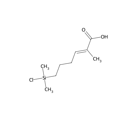 C/C(=C\CCC[Si](C)(C)Cl)C(=O)O